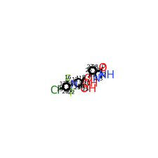 O=c1[nH]cnc2c(OC[C@]3(O)CCN(c4c(F)cc(Cl)cc4F)C[C@H]3O)cccc12